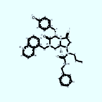 CCCN(C(=O)NCc1ccccc1)N1CC(=O)N2[C@@H](Cc3ccc(O)cc3)C(=O)N(Cc3cccc4ncccc34)C[C@@H]21